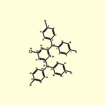 Cc1ccc(N(c2ccc(C)cc2)c2nc(Cl)nc(N(c3ccc(C)cc3)c3ccc(C)cc3)n2)cc1